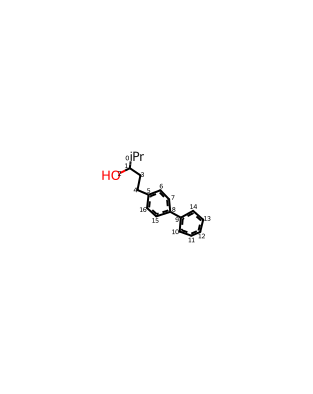 CC(C)C(O)CCc1ccc(-c2ccccc2)cc1